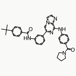 CC(C)(C)c1ccc(C(=O)Nc2cccc(-c3cn4ccnc4c(Nc4ccc(C(=O)N5CCCC5)cc4)n3)c2)cc1